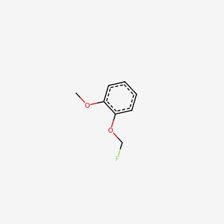 COc1ccccc1OCF